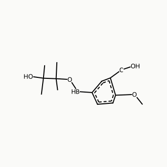 COc1ccc(BOC(C)(C)C(C)(C)O)cc1CO